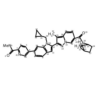 CNC(=O)c1ccc(-c2ccc3cc(-c4nn5cc(C(=O)N6CC7CCC6[C@@H]7N)ccc5c4C)n(CC4CC4)c3c2)cn1